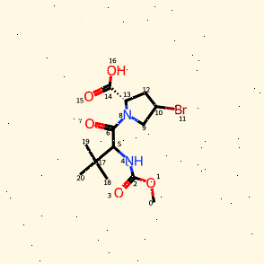 COC(=O)NC(C(=O)N1CC(Br)C[C@H]1C(=O)O)C(C)(C)C